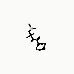 C=C(C(=O)C(C)(C)CN(C)C)c1ncc[nH]1